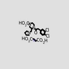 O=C(O)/C=C/C(=O)O.O=C(O)N1CCN(C(=O)Cc2ccc(Cl)c(Cl)c2)C(CN2CCCC2)C1